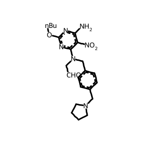 CCCCOc1nc(N)c([N+](=O)[O-])c(N(CC=O)Cc2ccc(CN3CCCC3)cc2)n1